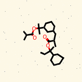 CCC(C)(OC(=O)C(C)CC1CCCC(C(C)(C)OC(=O)C(C)C)C1)C1CCCCC1